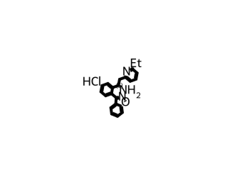 CCc1cccc(C[C@H](N)c2ccccc2-c2noc3ccccc23)n1.Cl